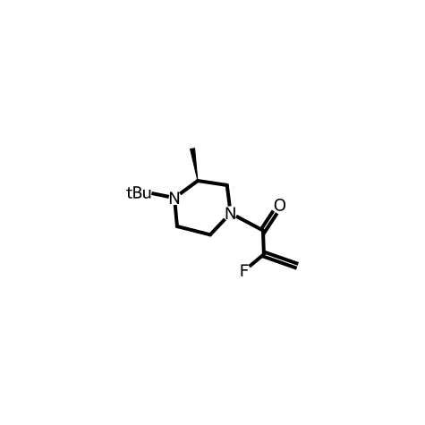 C=C(F)C(=O)N1CCN(C(C)(C)C)[C@@H](C)C1